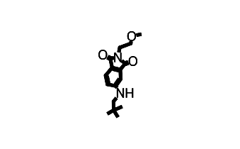 COCCN1C(=O)c2ccc(NCC(C)(C)C)cc2C1=O